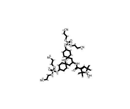 CC1(C)C=C(C(=O)NC2CC3(CCC(OP(=O)(OCCC#N)OCCC#N)CC3)NC3(CCC(OP(=O)(OCCC#N)OCCC#N)CC3)C2)C(C)(C)N1O